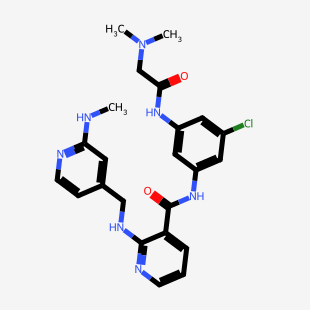 CNc1cc(CNc2ncccc2C(=O)Nc2cc(Cl)cc(NC(=O)CN(C)C)c2)ccn1